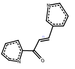 O=C(/C=C/c1cccnc1)c1ccccn1